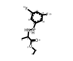 CCOC(=O)C(C)NNc1cc(F)cc(F)c1